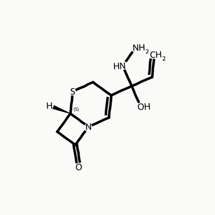 C=CC(O)(NN)C1=CN2C(=O)C[C@@H]2SC1